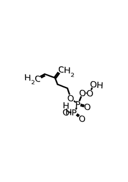 C=CC(=C)CCOP(=O)(OOO)[PH](=O)O